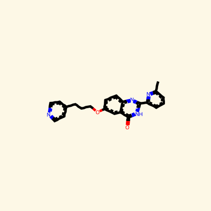 Cc1cccc(-c2nc3ccc(OCCCc4ccncc4)cc3c(=O)[nH]2)n1